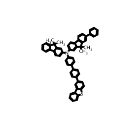 CC1(C)c2ccccc2-c2ccc(N(c3ccc(-c4ccc(-c5ccc6sc7ccccc7c6c5)cc4)cc3)c3ccc4c(c3)C(C)(C)c3cc(-c5ccccc5)ccc3-4)cc21